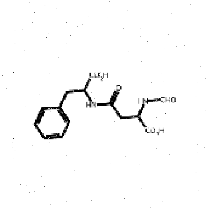 O=CNC(CC(=O)NC(Cc1ccccc1)C(=O)O)C(=O)O